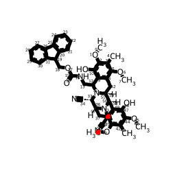 COc1c(C)c(OC)c2c(c1O)C(CNC(=O)OCC1c3ccccc3-c3ccccc31)N1[C@@H](C#N)[C@@H]3Cc4c(OC)c(C)c(OC)c(O)c4[C@H]([C@@H]1C2)N3CC#N